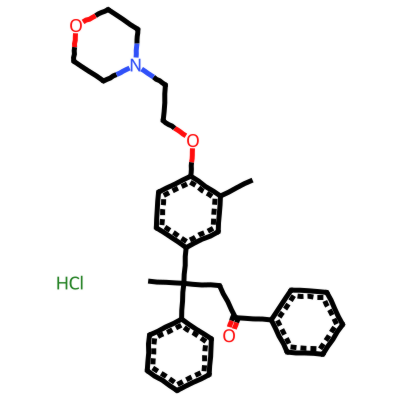 Cc1cc(C(C)(CC(=O)c2ccccc2)c2ccccc2)ccc1OCCN1CCOCC1.Cl